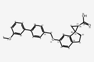 COc1cccc(-c2ccc(COc3ccc4c(c3)[C@]3(CC4)C[C@H]3C(=O)O)cc2)c1